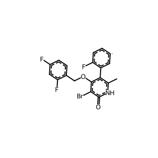 Cc1[nH]c(=O)c(Br)c(OCc2ccc(F)cc2F)c1-c1c[c]ccc1F